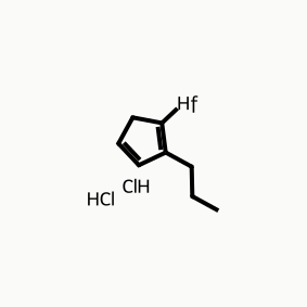 CCCC1=[C]([Hf])CC=C1.Cl.Cl